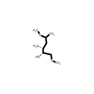 COC[C@H](O)[C@H](C)CC(C)OC